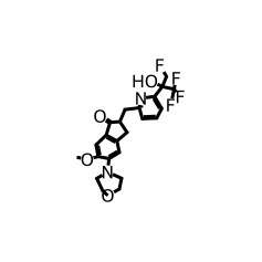 COc1cc2c(cc1N1CCOCC1)CC(Cc1cccc(C(O)(CF)C(F)(F)F)n1)C2=O